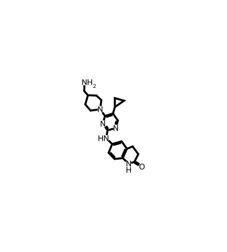 NCC1CCN(c2nc(Nc3ccc4c(c3)CCC(=O)N4)ncc2C2CC2)CC1